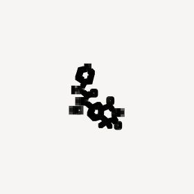 CC1(C)C(=O)NC(=O)c2cc(NC(=O)Nc3ccncc3)ccc21.Cl